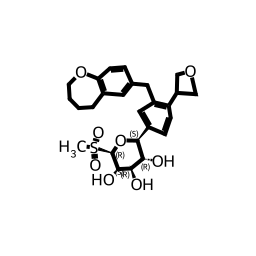 CS(=O)(=O)[C@H]1O[C@@H](c2ccc(C3COC3)c(Cc3ccc4c(c3)CCCCO4)c2)[C@H](O)[C@@H](O)[C@@H]1O